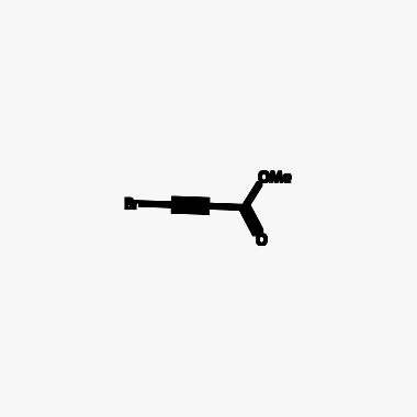 COC(=O)C#CBr